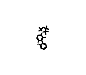 Cc1c(N2C(C)(C)CC(C)(C)C2(C)C)ccc2oc3ccccc3c12